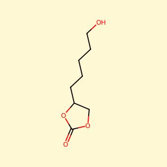 O=C1OCC(CCCCCO)O1